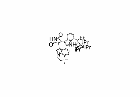 CCC(O[Si](C(C)C)(C(C)C)C(C)C)c1cccc2c(C3=C(c4cn5c6c(cccc46)C(C)(C)CC5)C(=O)NC3=O)c[nH]c12